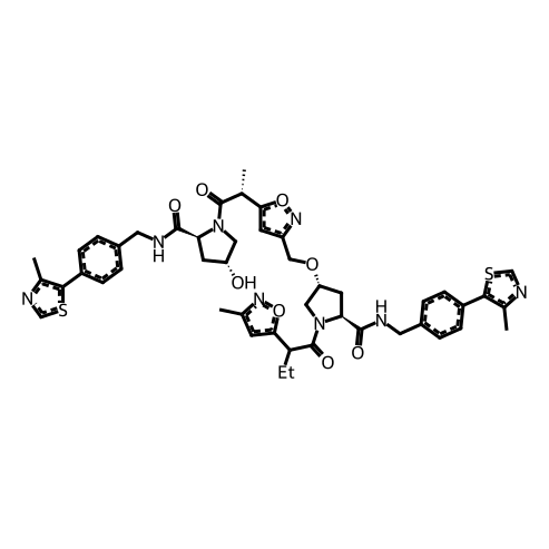 CCC(C(=O)N1C[C@H](OCc2cc([C@@H](C)C(=O)N3C[C@H](O)C[C@H]3C(=O)NCc3ccc(-c4scnc4C)cc3)on2)C[C@H]1C(=O)NCc1ccc(-c2scnc2C)cc1)c1cc(C)no1